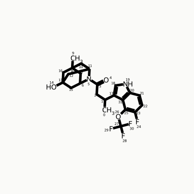 CC(CC(=O)N1C2CC3(C)CC1CC(O)(C2)C3)c1c[nH]c2ccc(F)c(OC(F)(F)F)c12